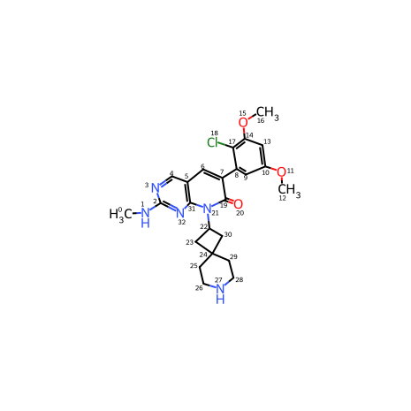 CNc1ncc2cc(-c3cc(OC)cc(OC)c3Cl)c(=O)n(C3CC4(CCNCC4)C3)c2n1